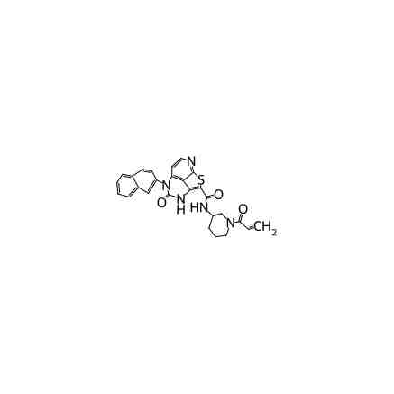 C=CC(=O)N1CCCC(NC(=O)c2sc3nccc4c3c2NC(=O)N4c2ccc3ccccc3c2)C1